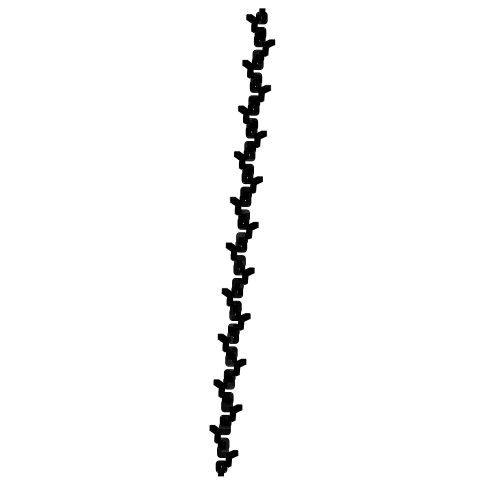 COCC(C)OOCC(C)OOCC(C)OOCC(C)OOCC(C)OOCC(C)OOCC(C)OOCC(C)OOCC(C)OOCC(C)OOCC(C)OOCC(C)OOCC(C)OOCC(C)OOCC(C)OOCC(C)OOCC(C)OOCC(C)OOCC(C)OOCC(C)OC